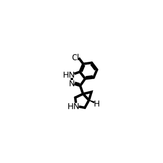 Clc1cccc2c(C34CNC[C@H]3C4)n[nH]c12